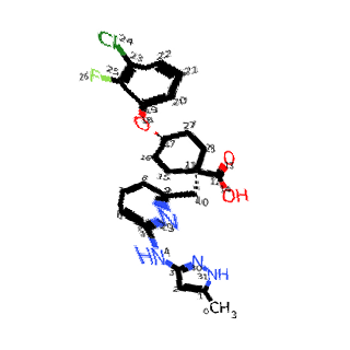 Cc1cc(Nc2cccc(C[C@]3(C(=O)O)CC[C@H](Oc4cccc(Cl)c4F)CC3)n2)n[nH]1